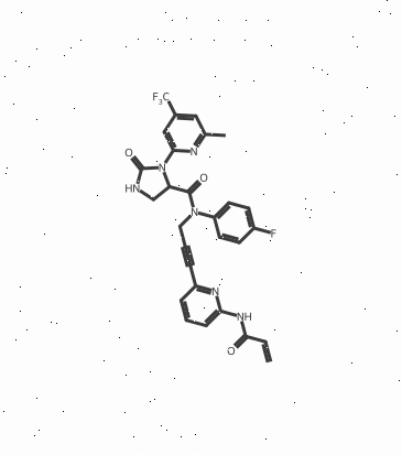 C=CC(=O)Nc1cccc(C#CCN(C(=O)C2CNC(=O)N2c2cc(C(F)(F)F)cc(C)n2)c2ccc(F)cc2)n1